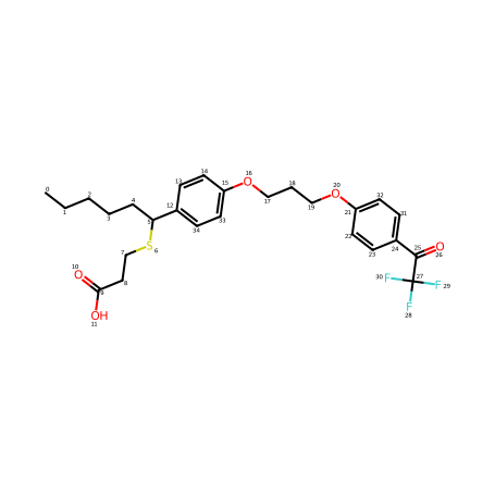 CCCCCC(SCCC(=O)O)c1ccc(OCCCOc2ccc(C(=O)C(F)(F)F)cc2)cc1